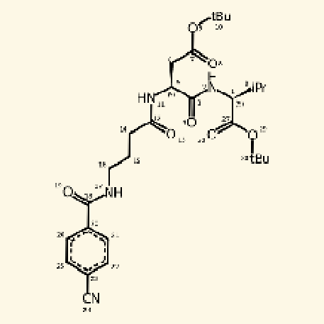 CC(C)[C@H](NC(=O)[C@H](CC(=O)OC(C)(C)C)NC(=O)CCCNC(=O)c1ccc(C#N)cc1)C(=O)OC(C)(C)C